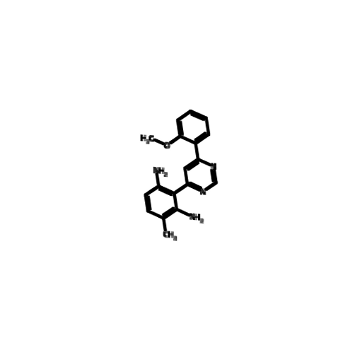 COc1ccccc1-c1cc(-c2c(N)ccc(C)c2N)ncn1